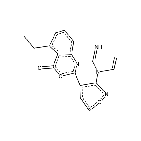 C=CN(C=N)c1ncccc1-c1nc2cccc(CC)c2c(=O)o1